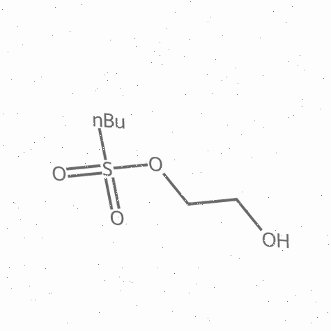 CCCCS(=O)(=O)OCCO